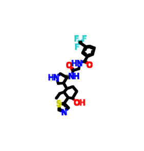 CCC1C(C2CNC[C@@H]2NC(=O)CNC(=O)c2cccc(C(F)(F)F)c2)CCC(O)C1c1cncs1